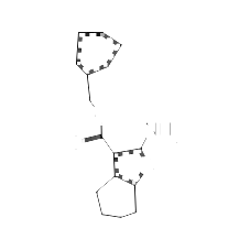 Nc1sc2c(c1C(=O)OCc1ccccc1)CCCC2